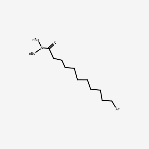 CCCCN(CCCC)C(=S)CCCCCCCCCCC(C)=O